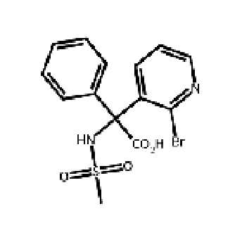 CS(=O)(=O)NC(C(=O)O)(c1ccccc1)c1cccnc1Br